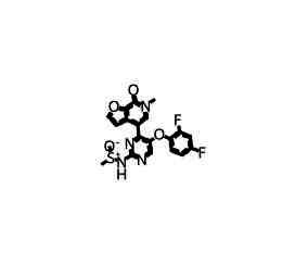 Cn1cc(-c2nc(N[S+](C)[O-])ncc2Oc2ccc(F)cc2F)c2ccoc2c1=O